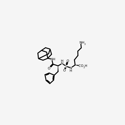 NCCCC[C@H](NS(=O)(=O)N[C@@H](Cc1ccccc1)C(=O)NC12CC3CC(CC(C3)C1)C2)C(=O)O